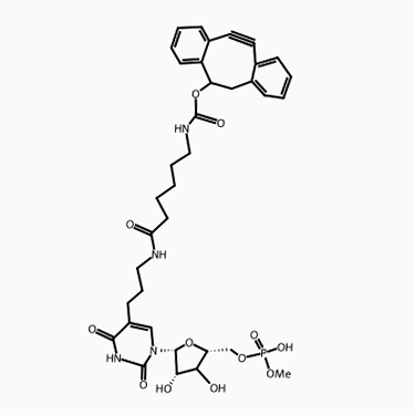 COP(=O)(O)OC[C@H]1O[C@@H](n2cc(CCCNC(=O)CCCCCNC(=O)OC3Cc4ccccc4C#Cc4ccccc43)c(=O)[nH]c2=O)[C@@H](O)C1O